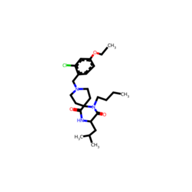 CCCCN1C(=O)C(CC(C)C)NC(=O)C12CCN(Cc1ccc(OCC)cc1Cl)CC2